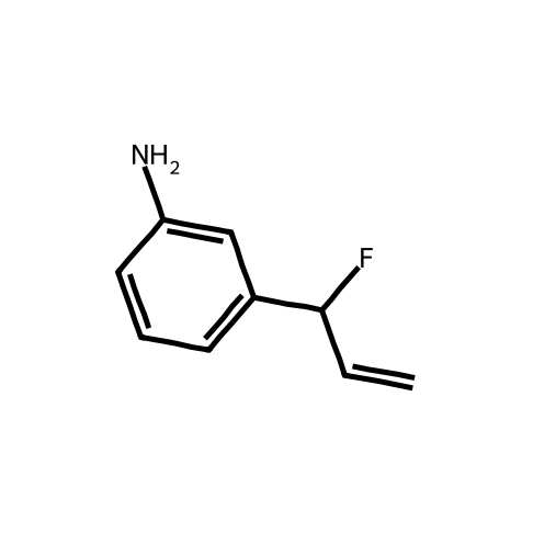 C=CC(F)c1cccc(N)c1